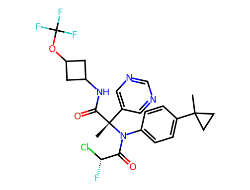 CC1(c2ccc(N(C(=O)[C@H](F)Cl)[C@](C)(C(=O)NC3CC(OC(F)(F)F)C3)c3cncnc3)cc2)CC1